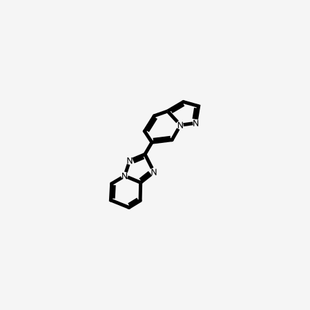 c1ccn2nc(-c3ccc4ccnn4c3)nc2c1